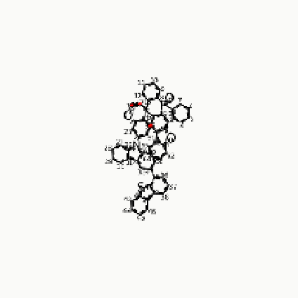 O=P1(c2ccccc2)c2ccccc2C2(c3ccccc3Oc3cc(-n4c5ccccc5c5cc(-c6cccc7c6sc6ccccc67)ccc54)ccc32)c2cc3c(cc21)oc1ccccc13